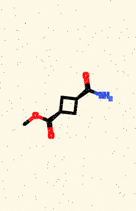 COC(=O)[C@H]1C[C@@H](C(N)=O)C1